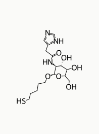 O=C(Cc1cnc[nH]1)N[C@@H]1[C@H](OCCCCCS)OC(CO)C(O)[C@H]1O